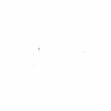 CCCCCCCCCCC[C@H](O)[C@@H](C)O